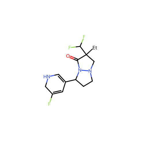 CCC1(C(F)F)CN2CCC(C3=CNCC(F)=C3)N2C1=O